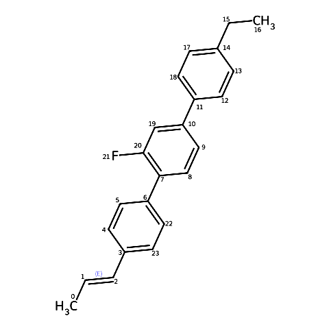 C/C=C/c1ccc(-c2ccc(-c3ccc(CC)cc3)cc2F)cc1